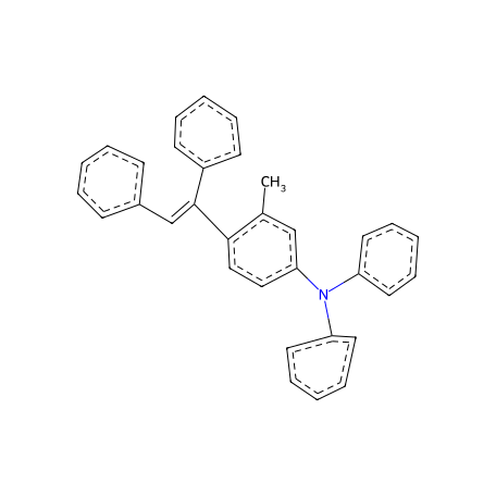 Cc1cc(N(c2ccccc2)c2ccccc2)ccc1C(=Cc1ccccc1)c1ccccc1